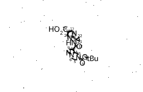 CC(C)(C)OC(=O)N1CCn2ncc(C(=O)NC3(c4ncc(C(=O)O)cn4)CC3)c2C1